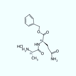 C[C@H](N)C(=O)N[C@H](CCC(N)=O)C(=O)OCc1ccccc1.Cl